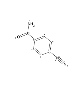 N#[N+]c1ccc(C(N)=O)cc1